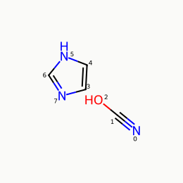 N#CO.c1c[nH]cn1